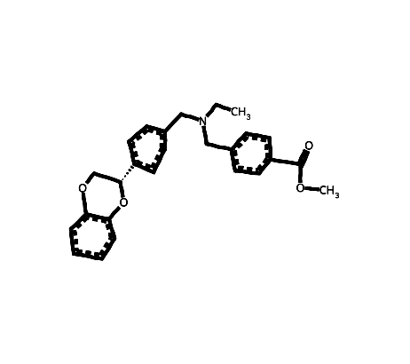 CCN(Cc1ccc(C(=O)OC)cc1)Cc1ccc([C@H]2COc3ccccc3O2)cc1